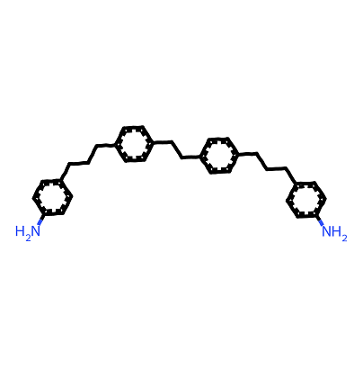 Nc1ccc(CCCc2ccc(CCc3ccc(CCCc4ccc(N)cc4)cc3)cc2)cc1